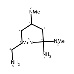 CNC(CCCN)CC(N)(NC)NC